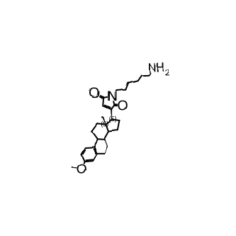 COc1ccc2c(c1)CCC1C2CC[C@@]2(C)C1CC[C@@H]2C1=CC(=O)N(CCCCCCN)C1=O